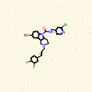 N#Cc1ccc2c(c1)c1c(n2C(=O)NCc2ccnc(Br)c2)CCN(C/C=C/c2ccc(F)c(F)c2)C1